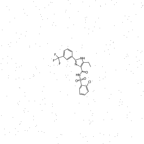 CCc1[nH]c(-c2cccc(C(F)(F)F)c2)nc1C(=O)NS(=O)(=O)c1ccccc1Cl